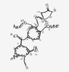 COc1ccc(C(=O)c2cnn(C)c2O)c(OC)c1N=S1(=O)CCCC1